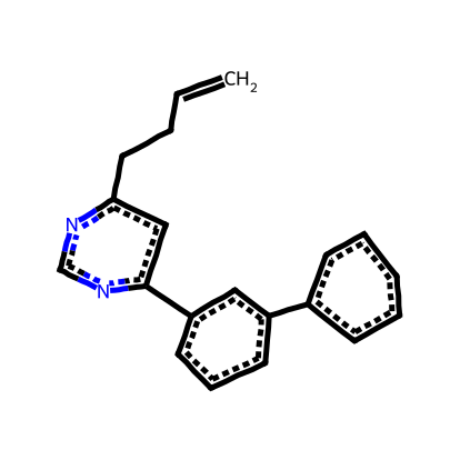 C=CCCc1cc(-c2cccc(-c3ccccc3)c2)ncn1